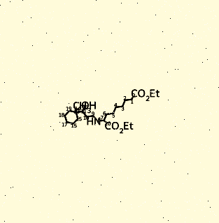 CCOC(=O)CCCCCCC(NCCC(O)C1(C)CCCCC1)C(=O)OCC